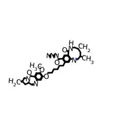 C=C1CNC(=O)c2cc(C(=O)N=[N+]=[N-])c(CCCCCCOc3cc4c(cc3OC)C(=O)N3CC(=C)CC3C=N4)cc2/N=C\C(C)C1